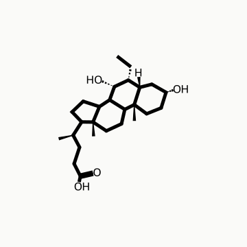 CC[C@H]1[C@@H](O)C2C3CCC([C@H](C)CCC(=O)O)[C@@]3(C)CCC2[C@@]2(C)CC[C@@H](O)C[C@@H]12